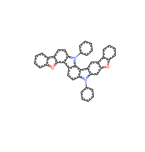 c1ccc(-n2c3cc4oc5ccccc5c4cc3c3c2ccc2c4c5oc6ccccc6c5ccc4n(-c4ccccc4)c23)cc1